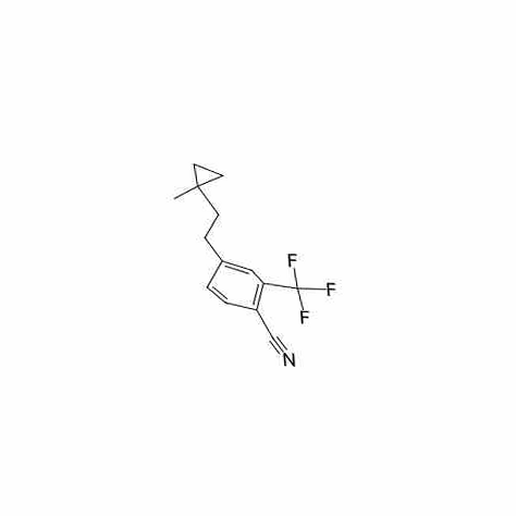 CC1(CCc2ccc(C#N)c(C(F)(F)F)c2)CC1